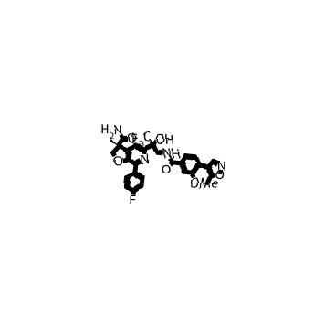 COc1cc(C(=O)NC[C@](O)(c2cc3c(c(-c4ccc(F)cc4)n2)OC[C@]3(C)C(N)=O)C(F)(F)F)ccc1-c1cnoc1C